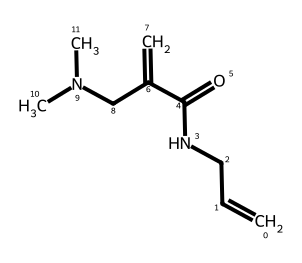 C=CCNC(=O)C(=C)CN(C)C